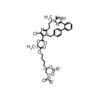 CCCCc1nc(Cl)c(C(=O)O[C@@H](C)C(=O)OCCCC[C@H](CO[N+](=O)[O-])O[N+](=O)[O-])n1Cc1ccc(-c2ccccc2-c2nnn[nH]2)cc1